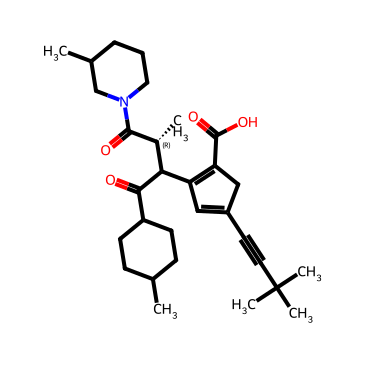 CC1CCC(C(=O)C(C2=C(C(=O)O)CC(C#CC(C)(C)C)=C2)[C@@H](C)C(=O)N2CCCC(C)C2)CC1